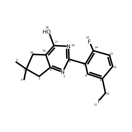 CC1(C)Cc2nc(-c3cc(CI)ccc3F)nc(O)c2C1